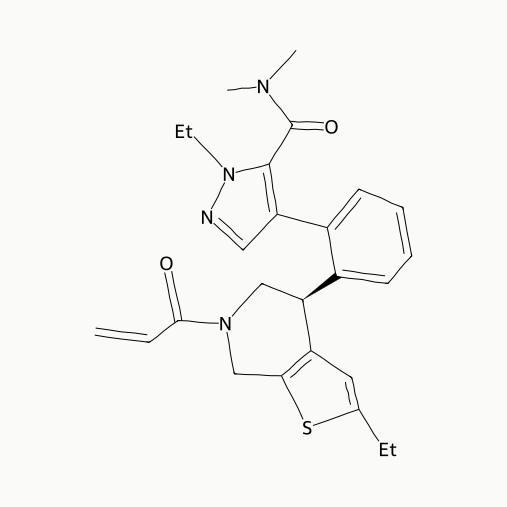 C=CC(=O)N1Cc2sc(CC)cc2[C@H](c2ccccc2-c2cnn(CC)c2C(=O)N(C)C)C1